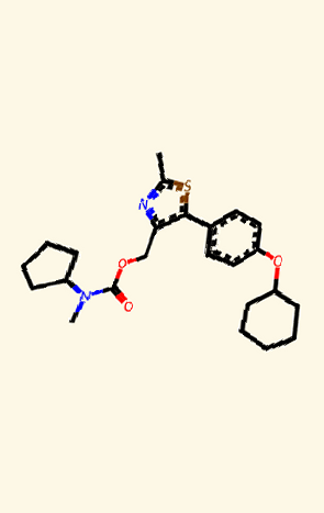 Cc1nc(COC(=O)N(C)C2CCCC2)c(-c2ccc(OC3CCCCC3)cc2)s1